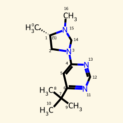 C[C@H]1CN(c2cc(C(C)(C)C)ncn2)CN1C